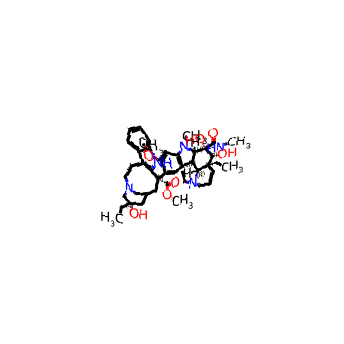 CC[C@]1(O)CC2CN(CCc3c([nH]c4ccccc34)[C@@](C(=O)OC)(c3cc4c(cc3OC)N(C)[C@H]3[C@@](O)(C(=O)NC)[C@H](O)[C@]5(CC)C=CCN6CC[C@]43[C@@H]65)C2)C1